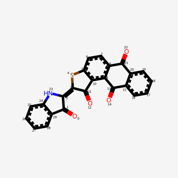 O=C1/C(=C2/Sc3ccc4c(c3C2=O)C(=O)c2ccccc2C4=O)Nc2ccccc21